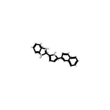 c1ccc2cc(-c3ccc(-c4nc5ccccc5s4)s3)ccc2c1